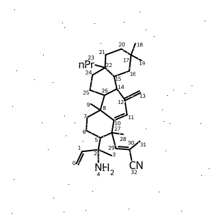 C=CC(C)(N)C1CCC2(C)C(=CC(=C)C3C4CC(C)(C)CCC4(CCC)CCC32)C1(C)/C=C(\C)C#N